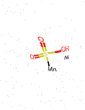 O=[S](=O)(O)[Mn].[Ni]